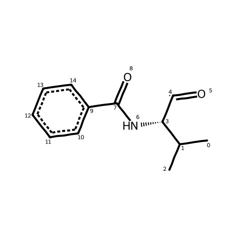 CC(C)[C@@H]([C]=O)NC(=O)c1ccccc1